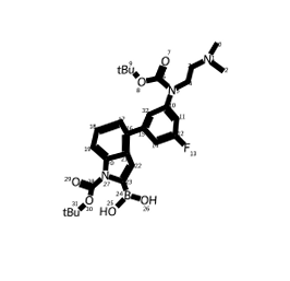 CN(C)CCN(C(=O)OC(C)(C)C)c1cc(F)cc(-c2cccc3c2cc(B(O)O)n3C(=O)OC(C)(C)C)c1